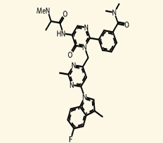 CNC(C)C(=O)Nc1cnc(-c2cccc(C(=O)N(C)C)c2)n(Cc2cc(-n3cc(C)c4cc(F)ccc43)nc(C)n2)c1=O